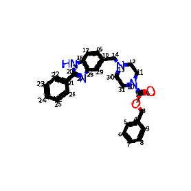 O=C(OCc1ccccc1)N1CCN(Cc2ccc3[nH]c(-c4ccccc4)nc3c2)CC1